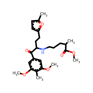 COC(=O)C(C)CCCNC(CCc1ccc(C)o1)C(=O)c1cc(OC)c(C)c(OC)c1